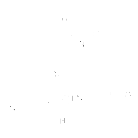 Cn1c(=O)c(=O)n(C2CCNCC2(C)C)c2ncc(Cl)cc21